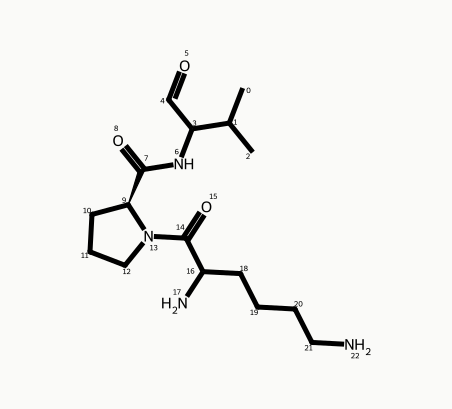 CC(C)C(C=O)NC(=O)[C@@H]1CCCN1C(=O)C(N)CCCCN